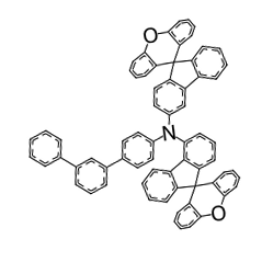 c1ccc(-c2cccc(-c3ccc(N(c4ccc5c(c4)-c4ccccc4C54c5ccccc5Oc5ccccc54)c4cccc5c4-c4ccccc4C54c5ccccc5Oc5ccccc54)cc3)c2)cc1